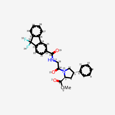 COC(=O)[C@@H]1C[C@@H](c2ccccc2)CN1C(=O)CNC(=O)c1ccc2c(c1)-c1ccccc1C2(F)F